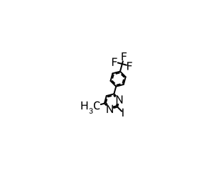 Cc1cc(-c2ccc(C(F)(F)F)cc2)nc(I)n1